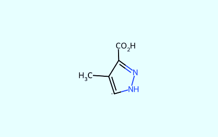 Cc1[c][nH]nc1C(=O)O